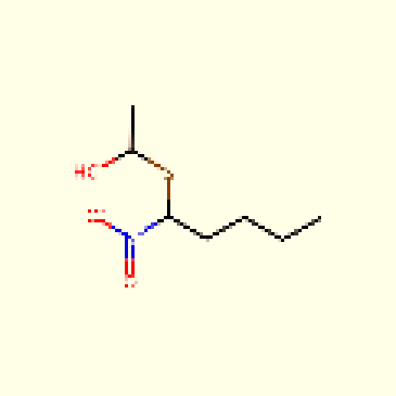 CCCCC(SC(C)O)[N+](=O)[O-]